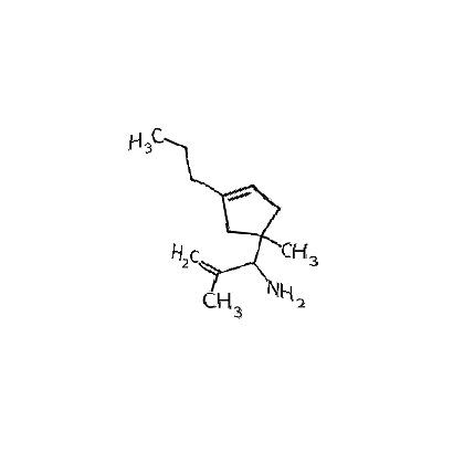 C=C(C)C(N)C1(C)CC=C(CCC)C1